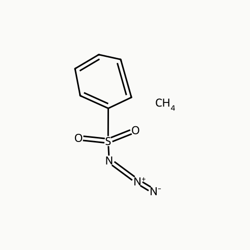 C.[N-]=[N+]=NS(=O)(=O)c1ccccc1